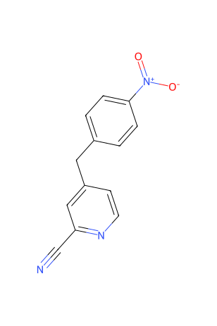 N#Cc1cc(Cc2ccc([N+](=O)[O-])cc2)ccn1